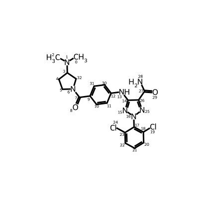 CN(C)C1CCN(C(=O)c2ccc(Nc3nn(-c4c(Cl)cccc4Cl)nc3C(N)=O)cc2)C1